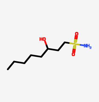 CCCCCC(O)CCS(N)(=O)=O